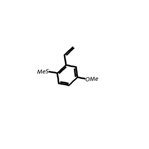 C=Cc1cc(OC)ccc1SC